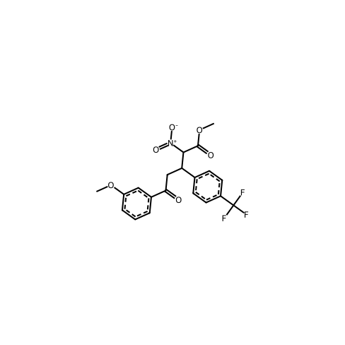 COC(=O)C(C(CC(=O)c1cccc(OC)c1)c1ccc(C(F)(F)F)cc1)[N+](=O)[O-]